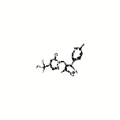 Cc1ccc(-c2noc(C)c2Cn2ncc(C(F)(F)F)cc2=O)cn1